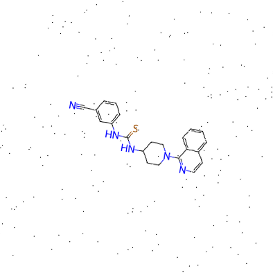 N#Cc1cccc(NC(=S)NC2CCN(c3nccc4ccccc34)CC2)c1